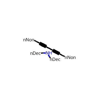 CCCCCCCCCC#CC#CCCCCCCCCC.CCCCCCCCCCNCCCCCCCCCC